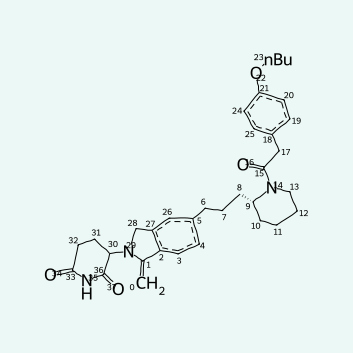 C=C1c2ccc(CCC[C@H]3CCCCN3C(=O)Cc3ccc(OCCCC)cc3)cc2CN1C1CCC(=O)NC1=O